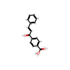 O=C(O)c1ccc(C(=O)C=Cc2ccccc2)cc1